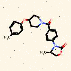 Cc1ccc(OC2CCN(C(=O)c3ccc(N4C(=O)OC[C@H]4C)cc3)CC2)cc1